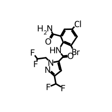 NC(=O)c1cc(Cl)cc(Br)c1NC(=O)c1cc(C(F)F)nn1CC(F)F